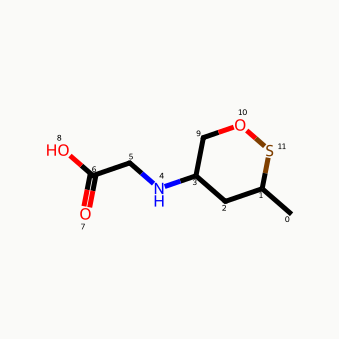 CC1CC(NCC(=O)O)COS1